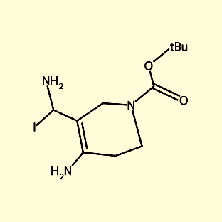 CC(C)(C)OC(=O)N1CCC(N)=C(C(N)I)C1